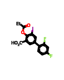 CCC(=O)Oc1c(I)cc(-c2ccc(F)cc2F)cc1C(=O)O